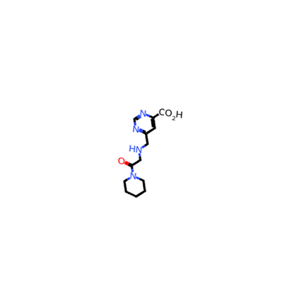 O=C(O)c1cc(CNCC(=O)N2CCCCC2)ncn1